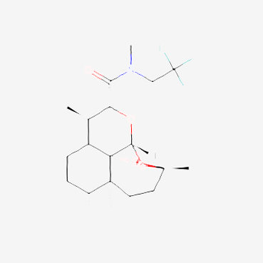 C[C@H]1[C@H](C(=O)N(C)CC(F)(F)F)O[C@@H]2O[C@@]3(C)CC[C@H]4[C@H](C)CC[C@@H]1[C@@]24OO3